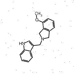 COc1cccc2c1CN(Cc1c[nH]c3ccccc13)C2